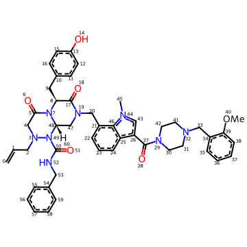 C=CCN1CC(=O)N2[C@@H](Cc3ccc(O)cc3)C(=O)N(Cc3cccc4c(C(=O)N5CCN(Cc6ccccc6OC)CC5)cn(C)c34)C[C@@H]2N1C(=O)NCc1ccccc1